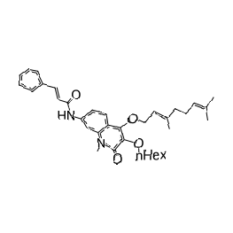 CCCCCCOc1c(OC/C=C(\C)CCC=C(C)C)c2ccc(NC(=O)/C=C/c3ccccc3)cc2n(C)c1=O